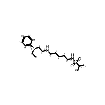 CCN(CCNCCCCCNS(=O)(=O)C(C)C)c1ccccc1